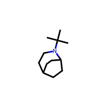 CC(C)(C)N1CCC2CCC1CC2